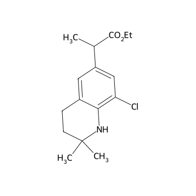 CCOC(=O)C(C)c1cc(Cl)c2c(c1)CCC(C)(C)N2